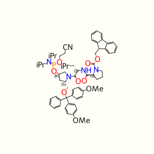 COc1ccc(C(OC[C@@H]2C[C@@H](OP(OCCC#N)N(C(C)C)C(C)C)CN2C(=O)[C@H](CC(C)C)NC(=O)[C@@H]2CCCN2C(=O)OCC2c3ccccc3-c3ccccc32)(c2ccccc2)c2ccc(OC)cc2)cc1